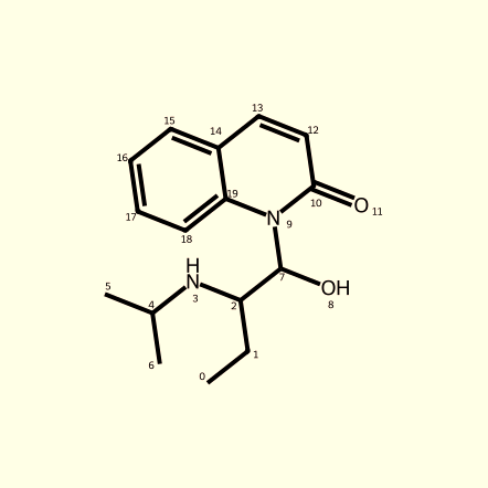 CCC(NC(C)C)C(O)n1c(=O)ccc2ccccc21